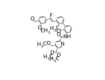 COCc1cc(C(=O)Nc2cccc(-c3cccc(/C=C(\F)c4ccc(C=O)c(OC)c4)c3C)c2Cl)ncc1C(OC)OC